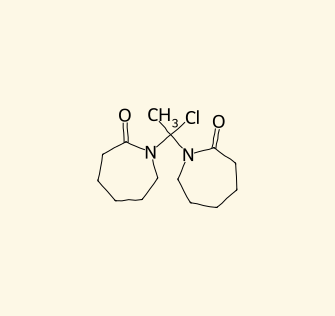 CC(Cl)(N1CCCCCC1=O)N1CCCCCC1=O